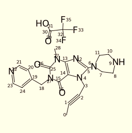 CC#CCn1c(N2CCNCC2)nc2c1c(=O)n(Cc1ccncc1)c(=O)n2C.O=C(O)C(F)(F)F